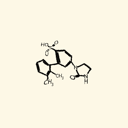 Cc1cccc(-c2cc(N3CCNC3=O)ccc2S(=O)(=O)O)c1C